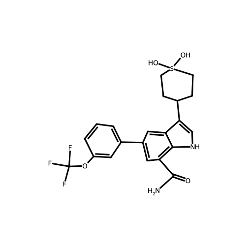 NC(=O)c1cc(-c2cccc(OC(F)(F)F)c2)cc2c(C3CCS(O)(O)CC3)c[nH]c12